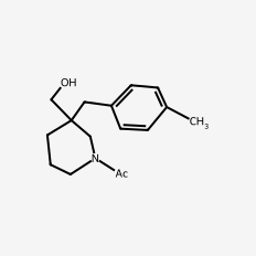 CC(=O)N1CCCC(CO)(Cc2ccc(C)cc2)C1